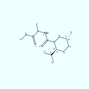 COC(=O)C(C)NC(=O)C1C[C@H](C)CC[C@H]1C(C)C